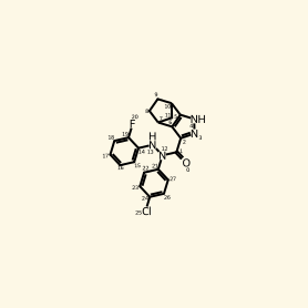 O=C(c1n[nH]c2c1C1CCC2C1)N(Nc1ccccc1F)c1ccc(Cl)cc1